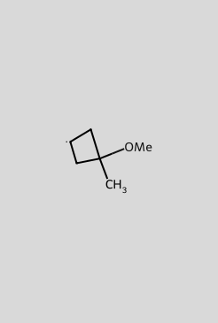 COC1(C)C[CH]C1